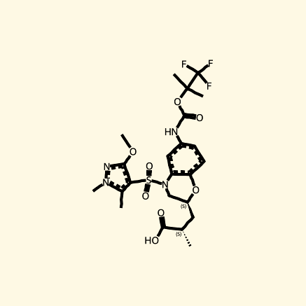 COc1nn(C)c(C)c1S(=O)(=O)N1C[C@H](C[C@H](C)C(=O)O)Oc2ccc(NC(=O)OC(C)(C)C(F)(F)F)cc21